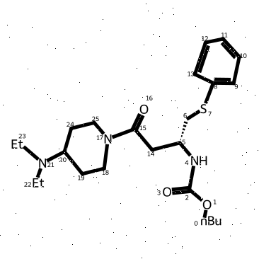 CCCCOC(=O)N[C@@H](CSc1ccccc1)CC(=O)N1CCC(N(CC)CC)CC1